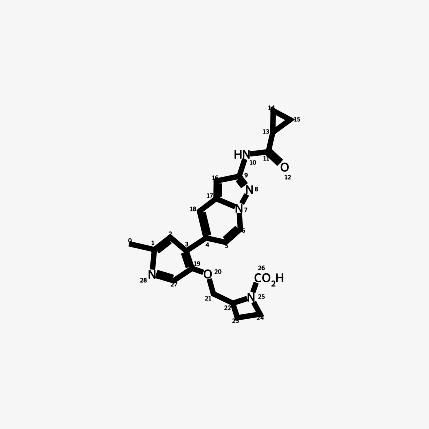 Cc1cc(-c2ccn3nc(NC(=O)C4CC4)cc3c2)c(OCC2CCN2C(=O)O)cn1